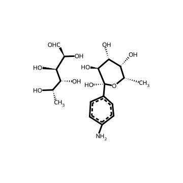 C[C@@H]1O[C@@](O)(c2ccc(N)cc2)[C@@H](O)[C@H](O)[C@@H]1O.C[C@H](O)[C@@H](O)[C@@H](O)[C@H](O)C=O